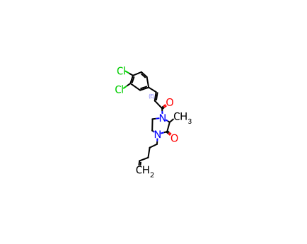 C=CCCCN1CCN(C(=O)/C=C/c2ccc(Cl)c(Cl)c2)C(C)C1=O